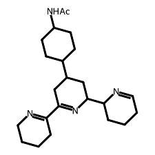 CC(=O)NC1CCC(C2CC(C3=NCCCC3)=NC(C3CCCC=N3)C2)CC1